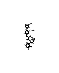 COc1cc(/C=C2\CC[C@H]3CC[C@@H](c4cccc(F)c4F)N3C2=O)ccc1-n1cnc(C)c1